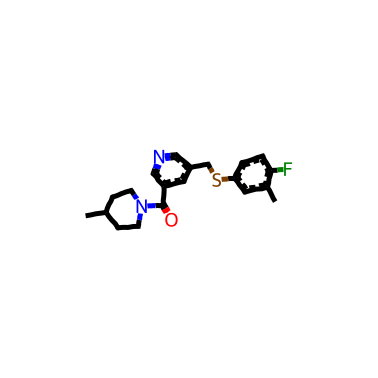 Cc1cc(SCc2cncc(C(=O)N3CCC(C)CC3)c2)ccc1F